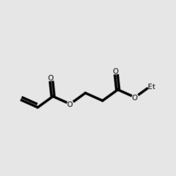 C=CC(=O)OCCC(=O)OCC